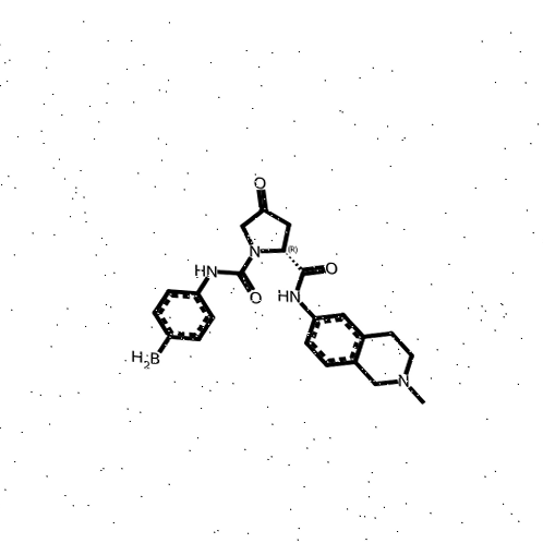 Bc1ccc(NC(=O)N2CC(=O)C[C@@H]2C(=O)Nc2ccc3c(c2)CCN(C)C3)cc1